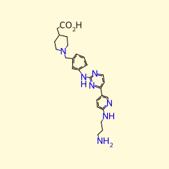 NCCCNc1ccc(-c2ccnc(Nc3cccc(CN4CCC(CC(=O)O)CC4)c3)n2)cn1